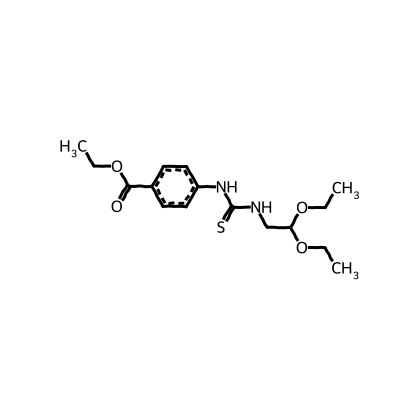 CCOC(=O)c1ccc(NC(=S)NCC(OCC)OCC)cc1